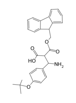 CC(C)(C)Oc1ccc(C(N)C(C(=O)O)C(=O)OCC2c3ccccc3-c3ccccc32)cc1